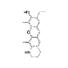 CCc1cc2cc3cc4c(c(C)c3oc-2c(C)c1=N)NCCC4